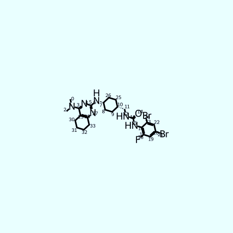 CN(C)c1nc(N[C@H]2CC[C@@H](CNC(=O)Nc3c(F)cc(Br)cc3Br)CC2)nc2c1CCCC2